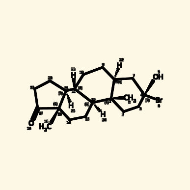 C[C@]12CC[C@@](O)(Br)C[C@@H]1CC[C@@H]1[C@@H]2CC[C@]2(C)C(=O)CC[C@@H]12